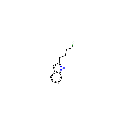 ClCCCCc1cc2ccccc2[nH]1